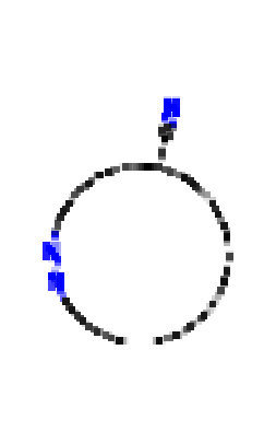 N#CC1CCCCCCCCCCCN=NCCCC1